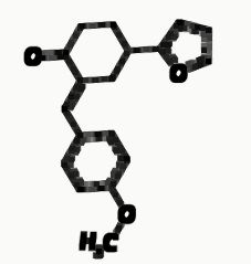 COc1ccc(C=C2CC(c3ccco3)CCC2=O)cc1